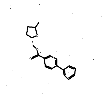 CC1CC[C@@H](COC(=O)c2ccc(-c3ccccc3)cc2)O1